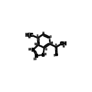 Cc1ccc(C(O)=S)c2snnc12